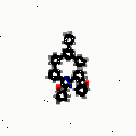 c1ccc(-c2cc(-c3ccccc3)cc(-c3cccc(-c4cccc(-c5nc(-c6cccc7oc8ccccc8c67)nc6c5oc5ccccc56)c4)c3)c2)cc1